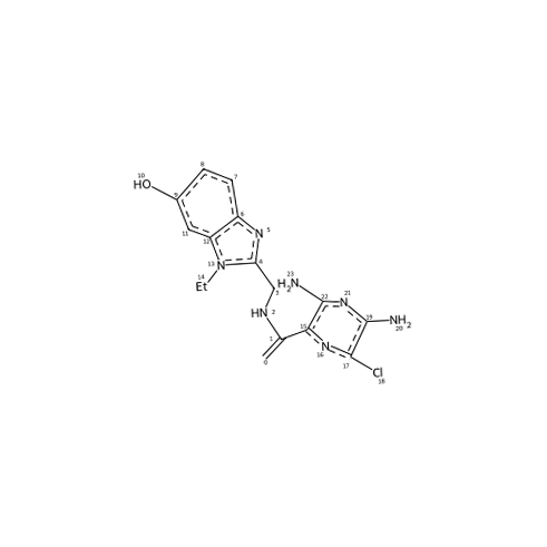 C=C(NCc1nc2ccc(O)cc2n1CC)c1nc(Cl)c(N)nc1N